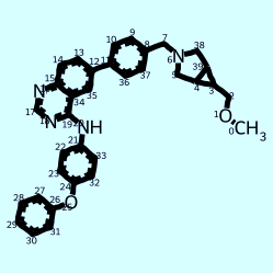 COCC1C2CN(Cc3ccc(-c4ccc5ncnc(Nc6ccc(Oc7ccccc7)cc6)c5c4)cc3)CC12